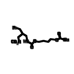 CC(C)CC(CNC(=O)OCCCCOC(=O)C(C)(C)C)CC(=O)O